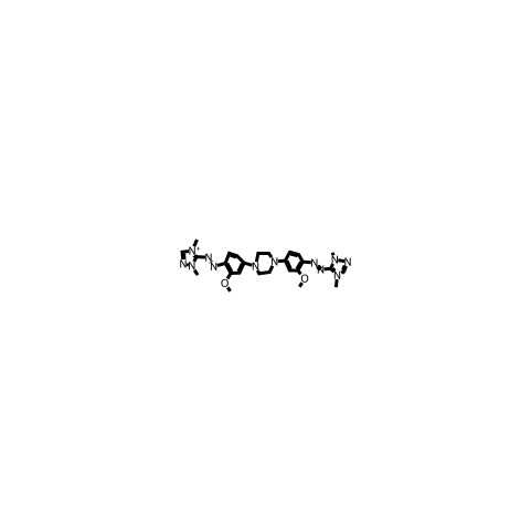 COc1cc(N2CCN(c3ccc(N=Nc4n(C)nc[n+]4C)c(OC)c3)CC2)ccc1N=Nc1n(C)nc[n+]1C